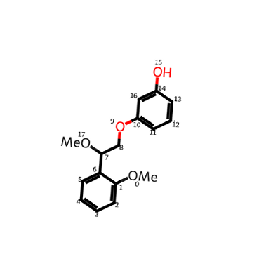 COc1ccccc1C(COc1c[c]cc(O)c1)OC